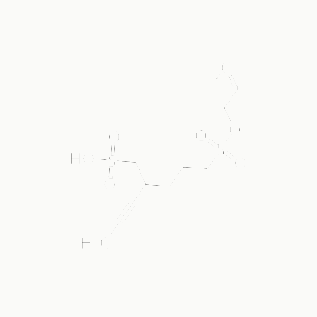 C=CCOS(=O)(=O)CCCC(C#CC)CS(=O)(=O)O